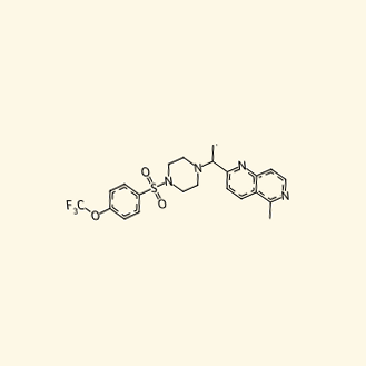 [CH2]C(c1ccc2c(C)nccc2n1)N1CCN(S(=O)(=O)c2ccc(OC(F)(F)F)cc2)CC1